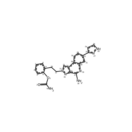 NC(=O)Oc1ccccc1CCn1cc2c(n1)c(N)nc1cc(-c3cc[nH]n3)ccc12